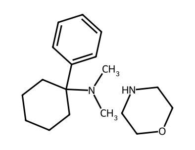 C1COCCN1.CN(C)C1(c2ccccc2)CCCCC1